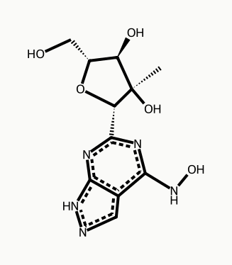 C[C@@]1(O)[C@H](O)[C@@H](CO)O[C@H]1c1nc(NO)c2cn[nH]c2n1